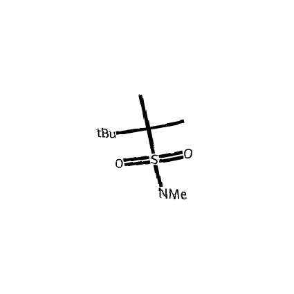 CNS(=O)(=O)C(C)(C)C(C)(C)C